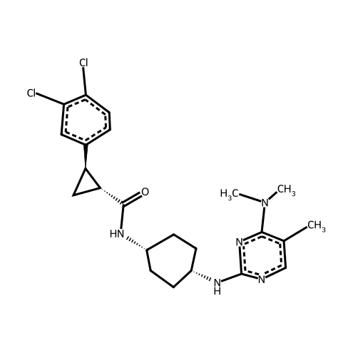 Cc1cnc(N[C@H]2CC[C@@H](NC(=O)[C@@H]3C[C@H]3c3ccc(Cl)c(Cl)c3)CC2)nc1N(C)C